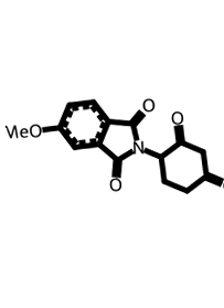 COc1ccc2c(c1)C(=O)N(C1CCC(=O)CC1=O)C2=O